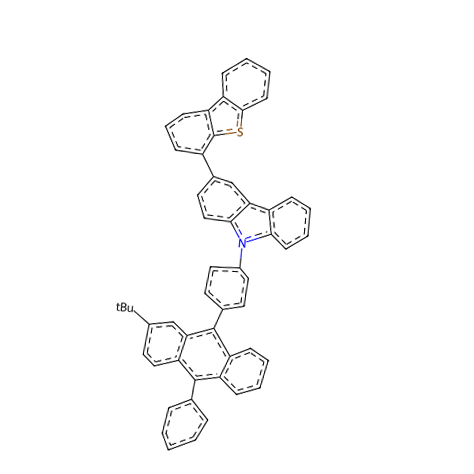 CC(C)(C)c1ccc2c(-c3ccccc3)c3ccccc3c(-c3ccc(-n4c5ccccc5c5cc(-c6cccc7c6sc6ccccc67)ccc54)cc3)c2c1